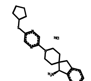 Cl.N[C@@H]1c2ccccc2CC12CCN(c1cnc(SC3CCCC3)cn1)CC2